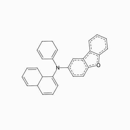 C1=CC2C=CC=C(N(C3=CCCC=C3)c3ccc4oc5ccccc5c4c3)C2C=C1